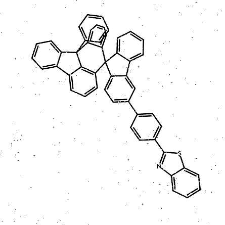 c1ccc(C23c4ccccc4-c4cccc(c42)C2(c4ccccc4-c4cc(-c5ccc(-c6nc7ccccc7s6)cc5)ccc42)c2ccccc23)cc1